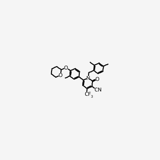 Cc1ccc(Cn2c(-c3ccc(OC4CCCCO4)c(C)c3)cc(C(F)(F)F)c(C#N)c2=O)c(C)c1